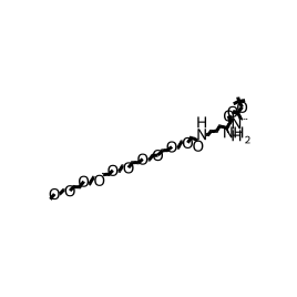 COCCOCCOCCOCCOCCOCCOCCOCCOCCOCC(=O)NCCCC[C@H](N)C(=O)N[C@@H](C)C(=O)OC(C)(C)C